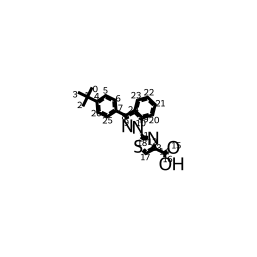 CC(C)(C)c1ccc(-c2nn(-c3nc(C(=O)O)cs3)c3ccccc23)cc1